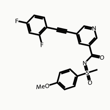 COc1ccc(S(C)(=O)=NC(=O)c2cncc(C#Cc3ccc(F)cc3F)c2)cc1